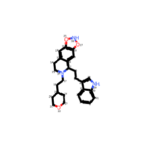 c1ccc2c(CCC3c4cc5c(cc4CCN3CCC3CCOCC3)ONO5)c[nH]c2c1